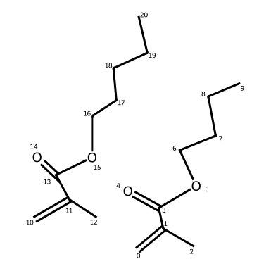 C=C(C)C(=O)OCCCC.C=C(C)C(=O)OCCCCC